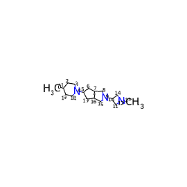 CC1CCN(C2CC3CN(C4CN(C)C4)CC3C2)CC1